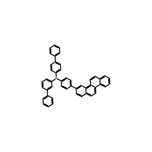 c1ccc(-c2ccc(N(c3ccc(-c4ccc5ccc6c7ccccc7ccc6c5c4)cc3)c3cccc(-c4ccccc4)c3)cc2)cc1